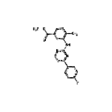 COC(=O)c1ccc(C)c(Nc2nccc(-c3ccc(F)cc3)n2)c1